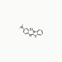 CCn1c(=Nc2ccc(N(C)C)cc2)sc2ccccc21